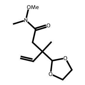 C=CC(C)(CC(=O)N(C)OC)C1OCCO1